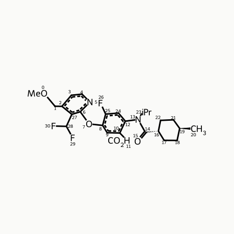 COCc1ccnc(Oc2cc(C(=O)O)c(N(C(=O)[C@H]3CC[C@H](C)CC3)C(C)C)cc2F)c1C(F)F